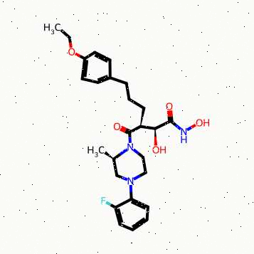 CCOc1ccc(CCC[C@H](C(=O)N2CCN(c3ccccc3F)C[C@H]2C)[C@H](O)C(=O)NO)cc1